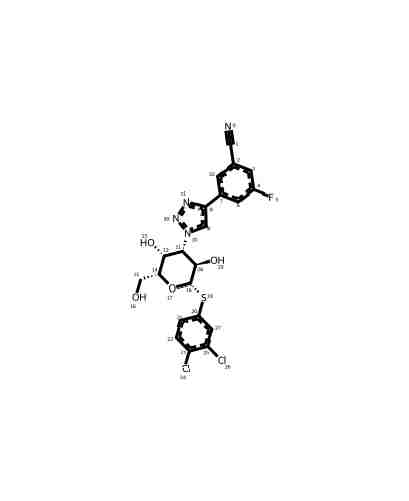 N#Cc1cc(F)cc(-c2cn([C@H]3[C@@H](O)[C@@H](CO)O[C@@H](Sc4ccc(Cl)c(Cl)c4)[C@@H]3O)nn2)c1